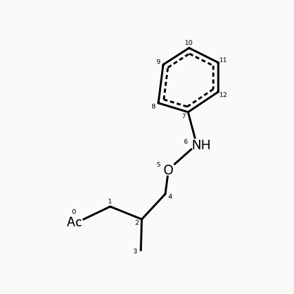 CC(=O)CC(C)CONc1ccccc1